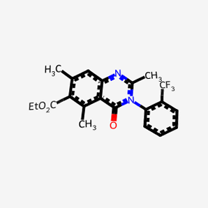 CCOC(=O)c1c(C)cc2nc(C)n(-c3ccccc3C(F)(F)F)c(=O)c2c1C